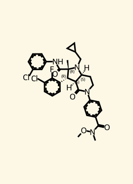 CON(C)C(=O)c1ccc(N2CC[C@H]3[C@@H](C2=O)[C@H](c2cccc(Cl)c2F)[C@](C)(C(=O)Nc2cccc(Cl)c2)N3CC2CC2)cc1